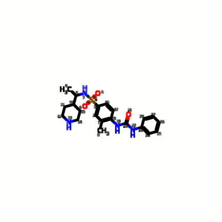 Cc1cc(S(=O)(=O)NC(C)C2CCNCC2)ccc1NC(=O)Nc1ccccc1